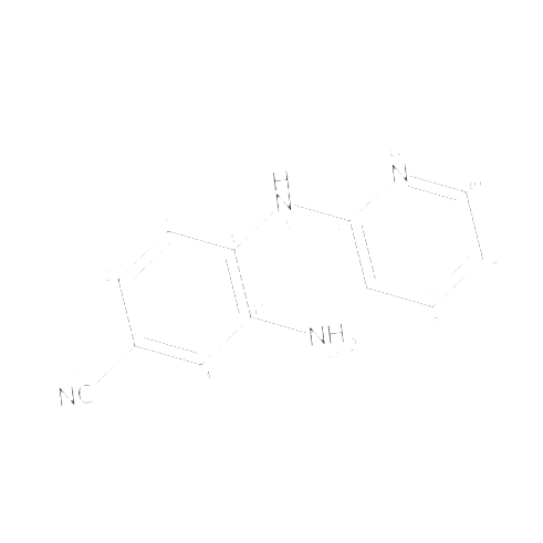 N#Cc1ccc(Nc2ccccn2)c(N)c1